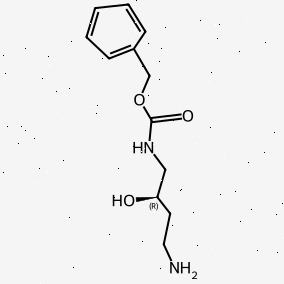 NCC[C@@H](O)CNC(=O)OCc1ccccc1